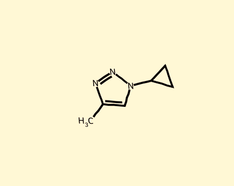 Cc1cn(C2CC2)nn1